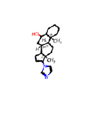 C[C@]12CCCCC1C(O)C[C@H]1C3CC=C(n4ccnc4)[C@@]3(C)CC[C@@H]12